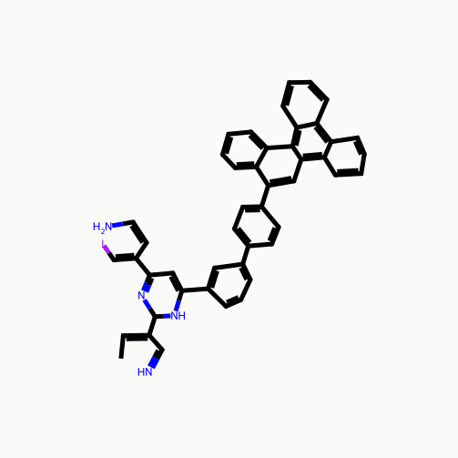 C/C=C(\C=N)C1N=C(C(/C=C\N)=C/I)C=C(c2cccc(-c3ccc(-c4cc5c6ccccc6c6ccccc6c5c5ccccc45)cc3)c2)N1